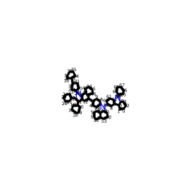 C1=CC2c3cc(N(c4ccc(-c5cc6c(-c7ccccc7)c(-c7ccccc7)n(-c7ccc(-c8ccccc8)cc7)c6c6ccccc56)cc4)c4cccc5ccccc45)ccc3N(c3ccccc3)C2C=C1